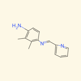 Cc1c(N)ccc(N=Cc2ccccn2)c1C